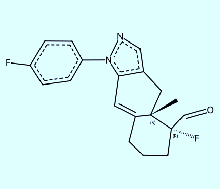 C[C@]12Cc3cnn(-c4ccc(F)cc4)c3C=C1CCC[C@]2(F)C=O